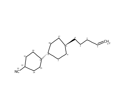 C=CCCC[C@H]1CC[C@H](C2CCC(C#N)CC2)CC1